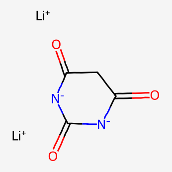 O=C1CC(=O)[N-]C(=O)[N-]1.[Li+].[Li+]